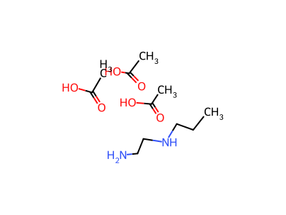 CC(=O)O.CC(=O)O.CC(=O)O.CCCNCCN